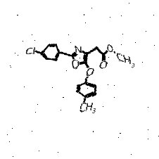 COC(=O)Cc1nc(-c2ccc(Cl)cc2)oc1Oc1ccc(C)cc1